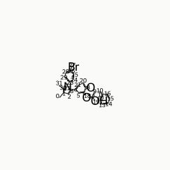 Cc1cc(-c2ccc(O[C@H](Cc3ccccc3)C(=O)O)cc2)n(-c2ccc(Br)cc2)c1C